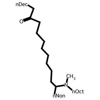 CCCCCCCCCCCC(=O)CCCCCCCCC(CCCCCCCCC)N(C)CCCCCCCC